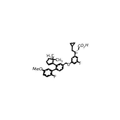 COc1ccc(F)c(-c2ccc(COc3cc(F)cc([C@@H](CC(=O)O)CC4CC4)c3)cc2C2=CCCC2(C)C)c1